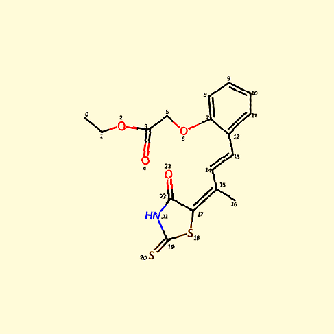 CCOC(=O)COc1ccccc1/C=C/C(C)=C1/SC(=S)NC1=O